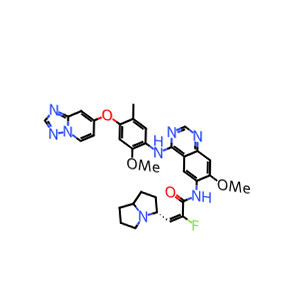 COc1cc2ncnc(Nc3cc(C)c(Oc4ccn5ncnc5c4)cc3OC)c2cc1NC(=O)/C(F)=C\[C@H]1CCC2CCCN21